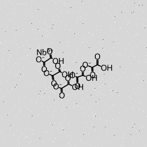 O=C([O-])C(=O)O.O=C([O-])C(=O)O.O=C([O-])C(=O)O.O=C([O-])C(=O)O.O=C([O-])C(=O)O.[Nb+5]